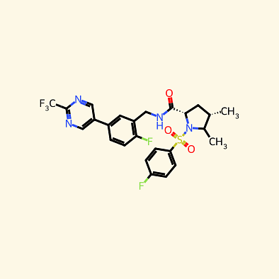 CC1[C@@H](C)C[C@@H](C(=O)NCc2cc(-c3cnc(C(F)(F)F)nc3)ccc2F)N1S(=O)(=O)c1ccc(F)cc1